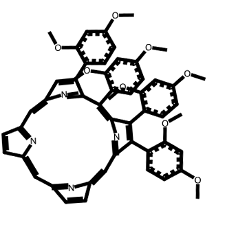 COc1ccc(C2=CC3=CC4=NC(=CC5=NC(=CC6=NC(=C(c7ccc(OC)cc7OC)C2=N3)C(c2ccc(OC)cc2OC)=C6c2ccc(OC)cc2OC)C=C5)C=C4)c(OC)c1